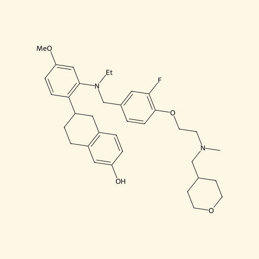 CCN(Cc1ccc(OCCN(C)CC2CCOCC2)c(F)c1)c1cc(OC)ccc1C1CCc2cc(O)ccc2C1